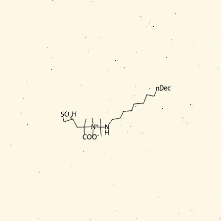 CCCCCCCCCCCCCCCCCCNC(C)(C)[N+](C)(C)C(C)(CCCS(=O)(=O)O)C(=O)[O-]